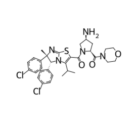 CC(C)C1=C(C(=O)N2C[C@@H](N)C[C@H]2C(=O)N2CCOCC2)SC2=N[C@@](C)(c3ccc(Cl)cc3)[C@@H](c3ccc(Cl)cc3)N21